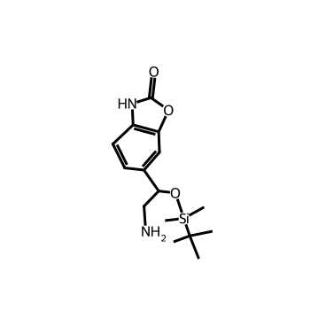 CC(C)(C)[Si](C)(C)OC(CN)c1ccc2[nH]c(=O)oc2c1